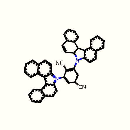 N#CC1=C(N2c3ccc4ccccc4c3C3c4ccccc4C=CC32)CC(C#N)C=C1n1c2ccc3ccccc3c2c2c3ccccc3ccc21